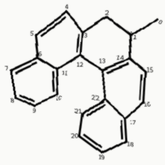 C[C]1Cc2ccc3ccccc3c2-c2c1ccc1ccccc21